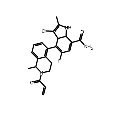 C=CC(=O)N1CCc2c(C3=C(F)C=C(C(N)=O)C4NC(C)=C(Cl)C34)cccc2C1C